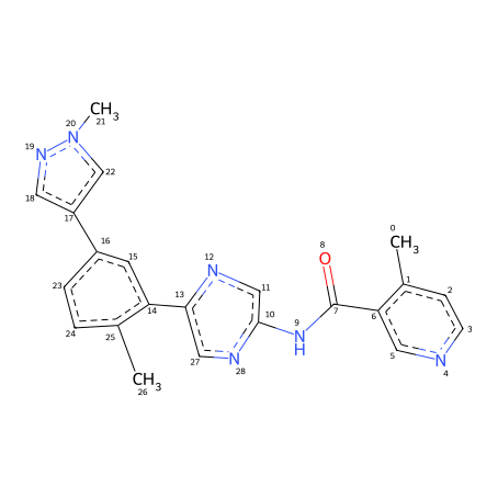 Cc1ccncc1C(=O)Nc1cnc(-c2cc(-c3cnn(C)c3)ccc2C)cn1